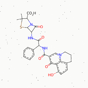 CC1(C)SC2C(NC(=O)C(NC(=O)c3cn4c5c(ccc(O)c5c3=O)CCC4)c3ccccc3)C(=O)N2C1C(=O)O